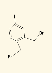 BrCc1ccc(I)cc1CBr